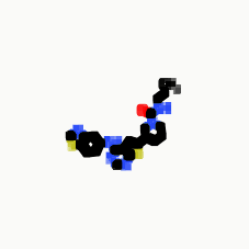 CCCNC(=O)N1CCC=C(c2cc3c(Nc4ccc5scnc5c4)ncnc3s2)C1